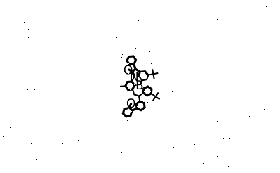 Cc1cc2c3c(c1)-n1c4c(c5c6ccccc6oc51)C=C(C(C)(C)C)CC4B3c1ccc(C(C)(C)C)cc1C(c1cccc3c1oc1ccccc13)C2